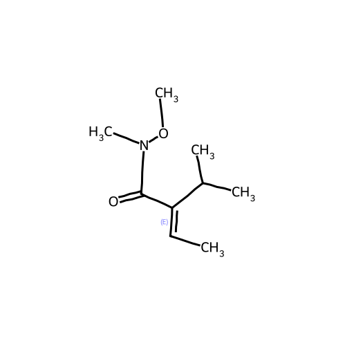 C/C=C(/C(=O)N(C)OC)C(C)C